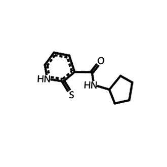 O=C(NC1CCCC1)c1ccc[nH]c1=S